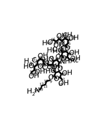 CC(=O)NC1[C@H](O[C@@H]2C(O)[C@H](OCCCCCN)OC(CO)[C@@H]2O)OC(CO[C@]2(C(=O)O)C[C@@H](O)[C@@H](C)C([C@H](O)[C@H](O)CO)O2)[C@@H](O)[C@@H]1O[C@@H]1OC(CO)[C@H](O)[C@H](O[C@@]2(C(=O)O)CC(O)[C@H](C)C([C@H](O)[C@H](O)CO)O2)C1O